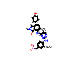 COc1cc(C[PH](=O)O)ccc1Nc1ncc(C(F)(F)F)c(Nc2ccc([C@H]3CC[C@H](O)CC3)c3c2C(=O)N(C)C3)n1